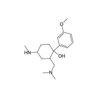 CNC1CCC(O)(c2cccc(OC)c2)C(CN(C)C)C1